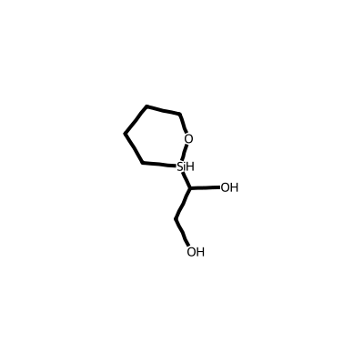 OCC(O)[SiH]1CCCCO1